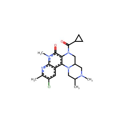 Cc1nc2c(cc1Cl)c1c(c(=O)n2C)N(C(=O)C2CC2)CC2CN(C)C(C)CN12